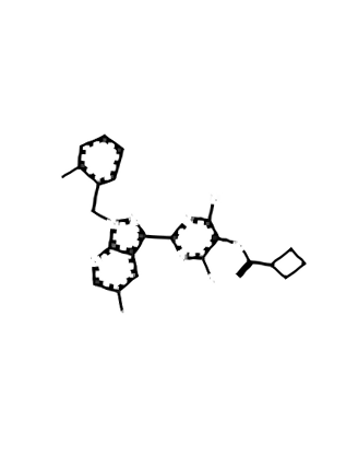 Nc1nc(-c2nn(Cc3ccccc3F)c3ncc(F)cc23)nc(N)c1NC(=O)C1CCC1